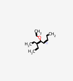 C=C/C=C\C(OC=C)=C(C=C)C=C